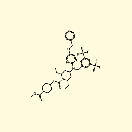 CC[C@@H]1C[C@@H](N(Cc2cc(C(F)(F)F)cc(C(F)(F)F)c2)c2ncc(OCc3ccccc3)cn2)C[C@H](CC)N1C(=O)OC1CCC(C(=O)OC)CC1